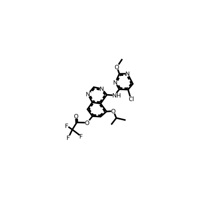 COc1ncc(Cl)c(Nc2ncnc3cc(OC(=O)C(F)(F)F)cc(OC(C)C)c23)n1